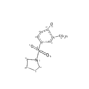 O=C(O)c1cc(S(=O)(=O)N2CCCC2)ccc1Cl